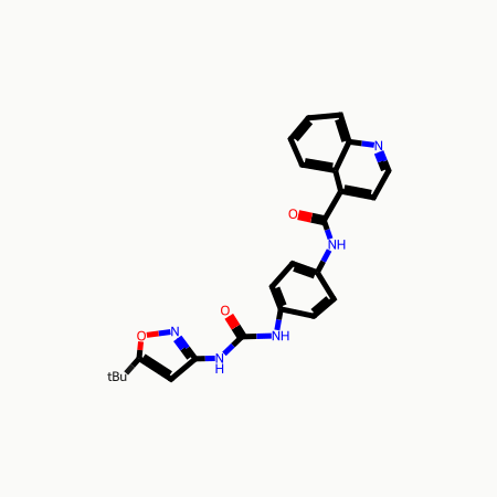 CC(C)(C)c1cc(NC(=O)Nc2ccc(NC(=O)c3ccnc4ccccc34)cc2)no1